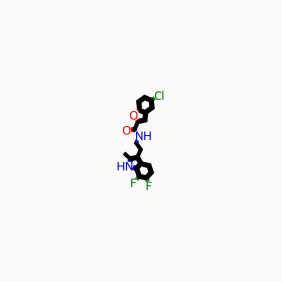 Cc1[nH]c2c(F)c(F)ccc2c1CCNC(=O)c1cc2cc(Cl)ccc2o1